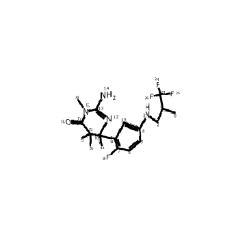 CC(CNc1ccc(F)c(C2(C)N=C(N)N(C)C(=O)C2(C)C)c1)C(F)(F)F